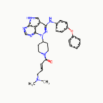 CN(C)C/C=C/C(=O)N1CCC(N2N=C(Nc3ccc(Oc4ccccc4)cc3)c3c[nH]c4ncnc2c34)CC1